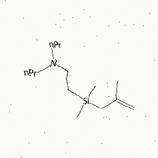 C=C(C)C[Si](C)(C)CCN(CCC)CCC